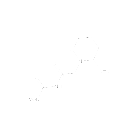 CNC(=O)NC(=O)CN1CCCCC1C=O